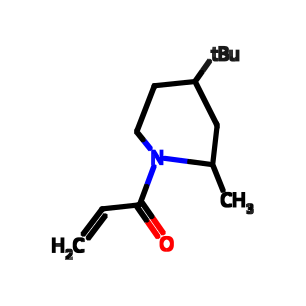 C=CC(=O)N1CCC(C(C)(C)C)CC1C